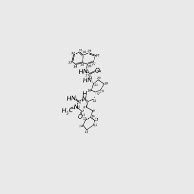 CN(C=O)C(=N)N[C@H](CCC1CCCCC1)C[C@H]1CCC[C@@H](NC(=O)Nc2cccc3ccccc23)C1